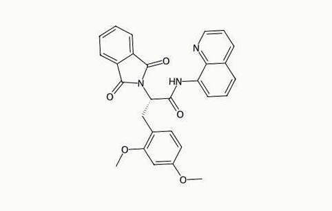 COc1ccc(C[C@@H](C(=O)Nc2cccc3cccnc23)N2C(=O)c3ccccc3C2=O)c(OC)c1